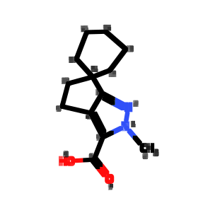 Cn1nc2c(c1C(=O)O)CCC21CCCCC1